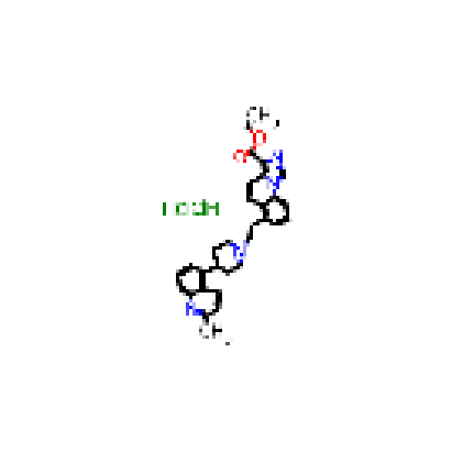 CCOC(=O)c1ncn2c1ccc1c(CCN3CCC(c4cccc5nc(C)ccc45)CC3)cccc12.Cl.Cl